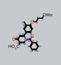 COCCCOc1cc2c(cc1C)-c1cc(=O)c(C(=O)O)cn1C(c1ccccc1)O2